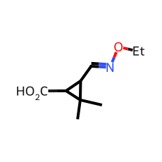 CCON=CC1C(C(=O)O)C1(C)C